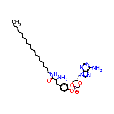 CCCCCCCCCCCCCCCCCCNC(=O)[C@@H](N)Cc1ccc(OP2(=O)CO[C@@H](Cn3cnc4c(N)ncnc43)CO2)cc1